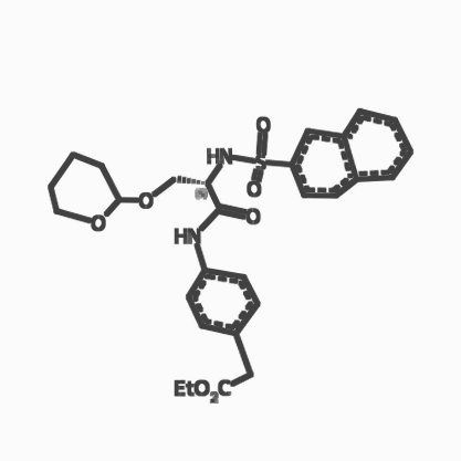 CCOC(=O)Cc1ccc(NC(=O)[C@H](COC2CCCCO2)NS(=O)(=O)c2ccc3ccccc3c2)cc1